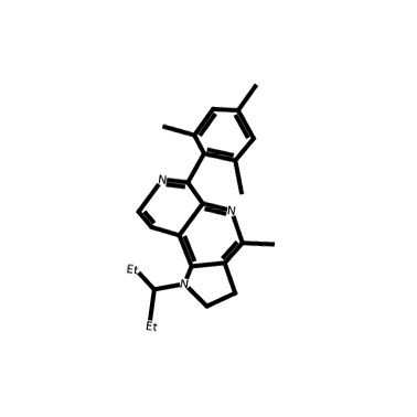 CCC(CC)N1CCc2c(C)nc3c(-c4c(C)cc(C)cc4C)nccc3c21